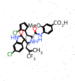 COc1cc(C(=O)O)ccc1NC(=O)[C@@H]1N[C@@H](C[C@@H](C)C(F)(F)F)[C@@]2(C(=O)Nc3cc(Cl)ccc32)C1C1C=CC=C1Cl